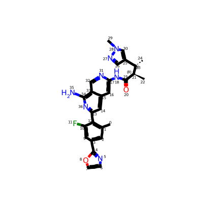 Cc1cc(-c2ncco2)cc(F)c1-c1cc2cc(NC(=O)[C@H](C)[C@@H](C)c3cnn(C)c3)ncc2c(N)n1